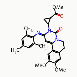 COC(=O)C1CC1n1c(=O)n2c(c/c1=N\c1c(C)cc(C)cc1C)-c1cc(OC)c(OC)cc1CC2